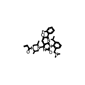 C=CC(=O)N1CC(C)N(c2nc(=O)n(-c3c(CN(C)C)cccc3C(C)C)c3nc(-c4ccccc4F)c(Cl)cc23)CC1C